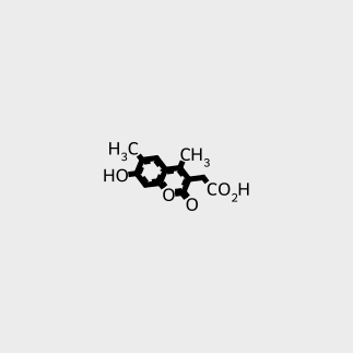 Cc1cc2c(C)c(CC(=O)O)c(=O)oc2cc1O